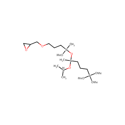 CO[Si](C)(CCCOCC1CO1)O[Si](C)(CCC[Si](OC)(OC)OC)O[SiH](C)C